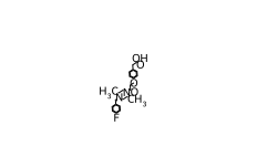 CC1CN(C(=O)COc2ccc(CC(=O)O)cc2)C(C)CN1Cc1ccc(F)cc1